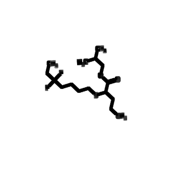 CCCC(SCCCCC(F)(F)CC)C(=O)OCC(C)C